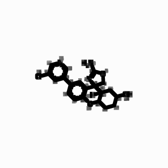 NC1=NC2(CO1)c1cc(-c3cncc(Cl)c3)ccc1OC1CCC(O)C[C@H]12